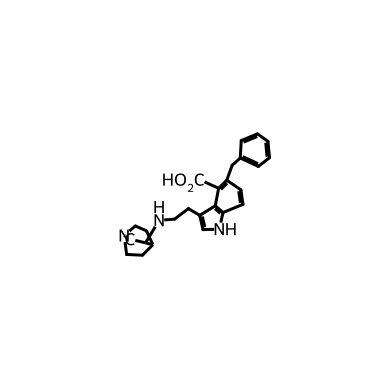 O=C(O)c1c(Cc2ccccc2)ccc2[nH]cc(CCNC3CN4CCC3CC4)c12